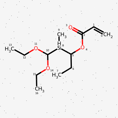 C=CC(=O)OC(CC)[SiH](C)C(OCC)OCC